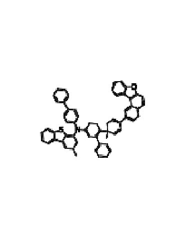 CC1C=c2c(sc3ccccc23)=C(N(C2=CC(c3ccccc3)=C(C3(C)C=CC(c4ccc5ccc6oc7ccccc7c6c5c4)=CC3)CC2)c2ccc(-c3ccccc3)cc2)C1